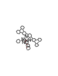 c1ccc(-c2cccc(-n3c4cc5c6ccccc6c6ccccc6c5cc4c4ccc5c6cc7c8ccccc8c8ccccc8c7cc6n(-c6nc(-c7ccccc7)nc(-c7ccccc7)n6)c5c43)c2)cc1